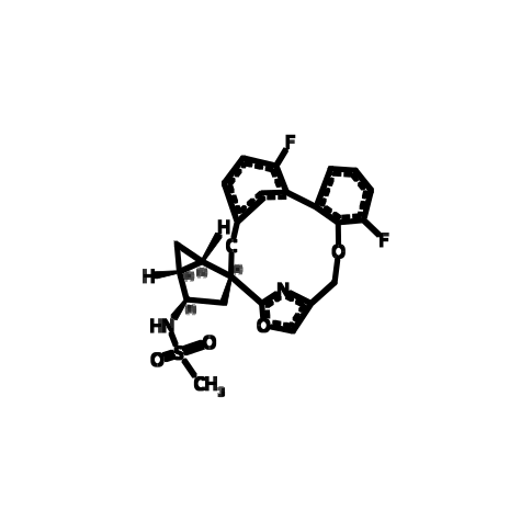 CS(=O)(=O)N[C@@H]1C[C@]2(Cc3ccc(F)c(c3)-c3cccc(F)c3OCc3coc2n3)[C@H]2C[C@@H]12